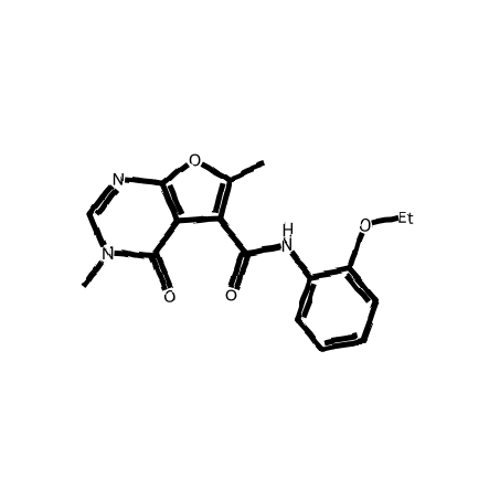 CCOc1ccccc1NC(=O)c1c(C)oc2ncn(C)c(=O)c12